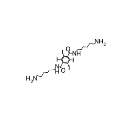 NCCCCCCNC(=O)c1c(I)c(I)c(C(=O)NCCCCCCN)c(I)c1I